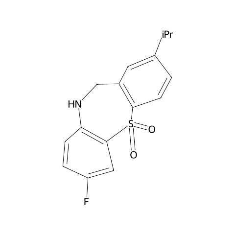 CC(C)c1ccc2c(c1)CNc1ccc(F)cc1S2(=O)=O